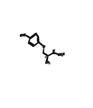 C[C@@H](COc1ccc(C=O)cc1)NC(=O)O